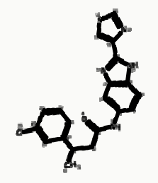 CC(CC(=O)Nc1ccc2[nH]c(-c3cscn3)nc2c1)c1cccc(Cl)c1